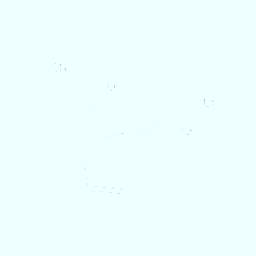 CCOC=C1CC=CC=C1C(=O)CC#N